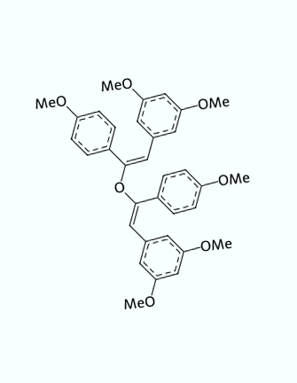 COc1ccc(/C(=C\c2cc(OC)cc(OC)c2)O/C(=C/c2cc(OC)cc(OC)c2)c2ccc(OC)cc2)cc1